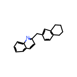 c1ccc2nc(Cc3ccc4c(c3)CCCC4)ccc2c1